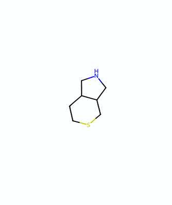 C1CC2CNCC2CS1